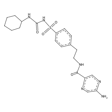 Nc1cnc(C(=O)NCCc2ccc(S(=O)(=O)NC(=O)NC3CCCCC3)cc2)cn1